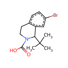 CC(C)(C)C1c2cc(Br)ccc2CCN1C(=O)O